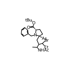 CCC(Br)C(C[C@@]1(C(C)=O)CC[C@H](C(=O)OC(C)(C)C)N1Cc1ccccc1)C(C)NC(C)=O